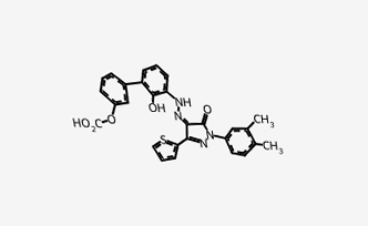 Cc1ccc(N2N=C(c3cccs3)C(=NNc3cccc(-c4cccc(OC(=O)O)c4)c3O)C2=O)cc1C